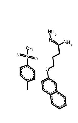 Cc1ccc(S(=O)(=O)O)cc1.NN=C(N)CCCOc1ccc2ccccc2c1